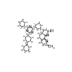 CCc1cc(-c2cccc(-c3nc(-c4ccccc4)nc(-c4ccc(-c5ccccc5)cc4)n3)c2)c2ccc3ccc(C)nc3c2n1